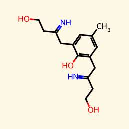 Cc1cc(CC(=N)CCO)c(O)c(CC(=N)CCO)c1